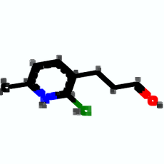 Cc1ccc(CCC=O)c(Cl)n1